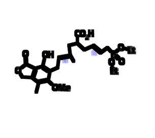 CCOP(=O)(C/C=C/CC(C/C(C)=C/Cc1c(O)c2c(c(C)c1OC)COC2=O)C(=O)O)OCC